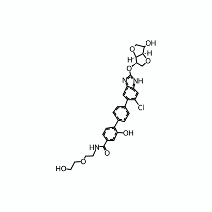 O=C(NCCOCCO)c1ccc(-c2ccc(-c3cc4nc(O[C@@H]5CO[C@H]6[C@@H]5OC[C@H]6O)[nH]c4cc3Cl)cc2)c(O)c1